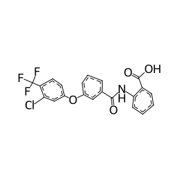 O=C(Nc1ccccc1C(=O)O)c1cccc(Oc2ccc(C(F)(F)F)c(Cl)c2)c1